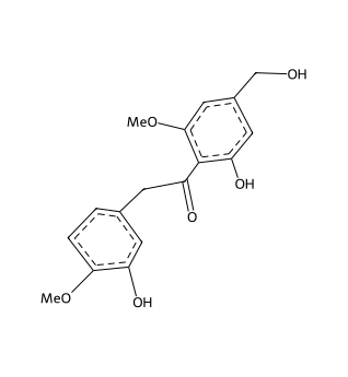 COc1ccc(CC(=O)c2c(O)cc(CO)cc2OC)cc1O